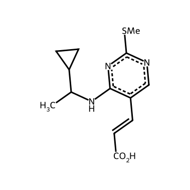 CSc1ncc(/C=C/C(=O)O)c(NC(C)C2CC2)n1